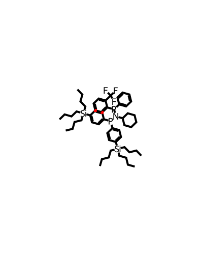 CCCC[Si](CCCC)(CCCC)c1ccc(P(c2ccc([Si](CCCC)(CCCC)CCCC)cc2)N(C2CCCCC2)P(c2ccccc2)c2ccccc2C(F)(F)F)cc1